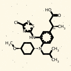 CO[C@H]1CC[C@H](N(CC(C)C)c2ccc([C@H](C)CC(=O)O)cc2Nc2nc(Cl)ns2)CC1